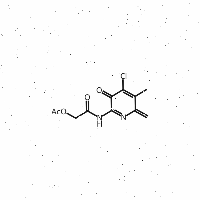 C=C1N=C(NC(=O)COC(C)=O)C(=O)C(Cl)=C1C